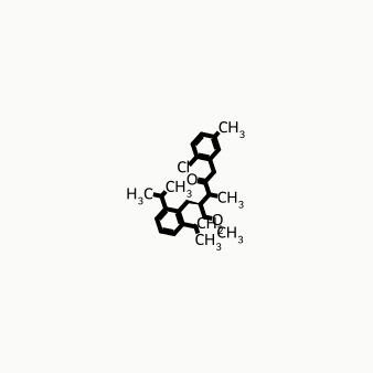 C=C(C)c1cccc(C(C)C)c1C[C@H](COC)C(C)C(=O)Cc1cc(C)ccc1Cl